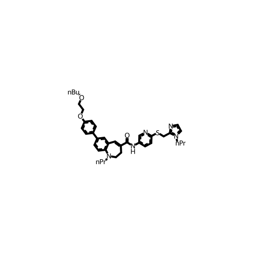 CCCCOCCOc1ccc(-c2ccc3c(c2)C=C(C(=O)Nc2ccc(SCc4nccn4CCC)nc2)CCN3CCC)cc1